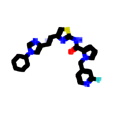 O=C(Nc1nc(/C=C/c2cn(C3CCCCC3)cn2)cs1)c1cccn1Cc1ccnc(F)c1